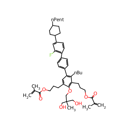 C=C(C)C(=O)OCCCc1cc(-c2ccc(-c3ccc(C4CCC(CCCCC)CC4)cc3F)cc2)c(CCCC)c(CCCOC(=O)C(=C)C)c1OCC(C)(CO)CO